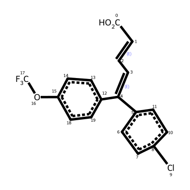 O=C(O)/C=C/C=C(/c1ccc(Cl)cc1)c1ccc(OC(F)(F)F)cc1